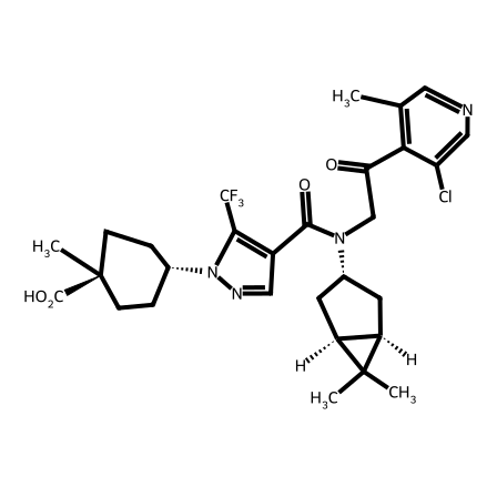 Cc1cncc(Cl)c1C(=O)CN(C(=O)c1cnn([C@H]2CC[C@](C)(C(=O)O)CC2)c1C(F)(F)F)[C@@H]1C[C@@H]2[C@H](C1)C2(C)C